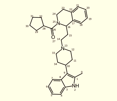 Cc1[nH]c2ccccc2c1C1CCN(CCC2c3ccccc3CCN2C(=O)C2CCCC2)CC1